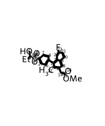 CCN(O)S(=O)(=O)c1ccc(-c2c(C)c(CC(=O)OC)cc3ccc(F)cc23)cc1